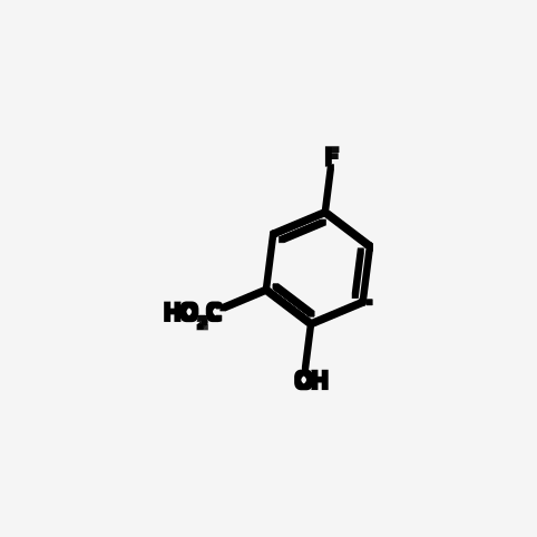 O=C(O)c1cc(F)c[c]c1O